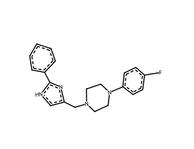 Fc1ccc(N2CCN(Cc3c[nH]c(-c4ccccc4)n3)CC2)cc1